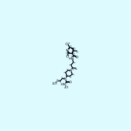 CCNC(=O)N(CCSCC)C1CCN(C(C)CCNC(=O)c2c(C)cc(Cl)nc2Cl)CC1